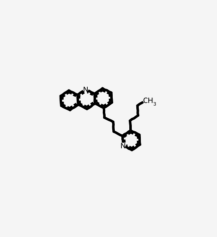 CCCCc1cccnc1CCCc1cccc2nc3ccccc3cc12